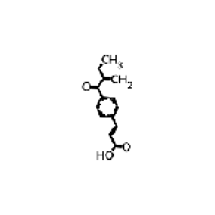 C=C(CC)C(=O)c1ccc(C=CC(=O)O)cc1